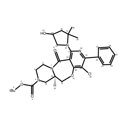 CC(C)(C)OC(=O)N1CCN2C(=O)c3c(N4CC(O)CC4(C)C)nc(-c4ccccc4)c(Cl)c3OC[C@H]2C1